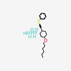 CCCCCCOC1CCC(C#CSc2ccccc2)CC1.F.F.F.F.F